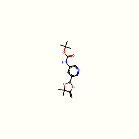 C=C1OB(c2cncc(NC(=O)OC(C)(C)C)c2)OC1(C)C